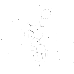 CC(C)C1=C2[C@H]3CC[C@@H]4[C@@]5(C)CC[C@H](C)C(C)(C)[C@@H]5CC[C@@]4(C)[C@]3(C)CC[C@@]2(C(=O)CN2CCN(C)CC2)CC1=O